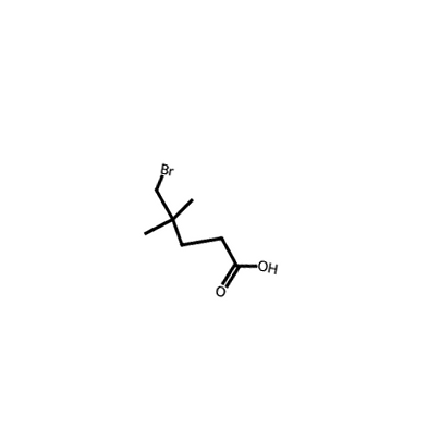 CC(C)(CBr)CCC(=O)O